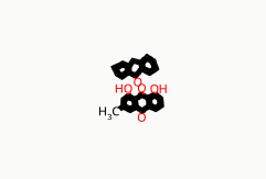 Cc1cc(O)c2c(c1)C(=O)c1cccc(O)c1C2=O.O=C1c2ccccc2Cc2ccccc21